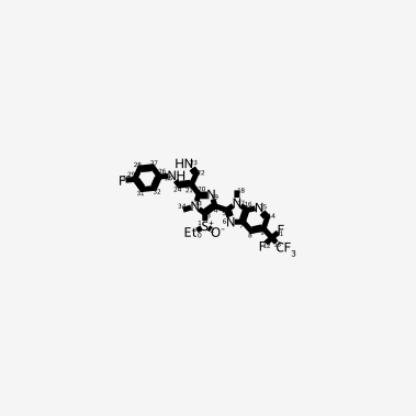 CC[S+]([O-])c1c(-c2nc3cc(C(F)(F)C(F)(F)F)cnc3n2C)nc(/C(C=N)=C/Nc2ccc(F)cc2)n1C